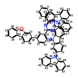 c1ccc(-c2nc(-c3ccccc3)nc(-c3cc(-c4ccc5c(c4)oc4ccccc45)ccc3-n3c4cc(-n5c6ccccc6c6ccccc65)ccc4c4ccc(-n5c6ccccc6c6ccccc65)cc43)n2)cc1